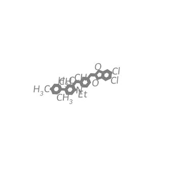 CCN1c2ccc(C=C3C(=O)c4cc(Cl)c(Cl)cc4C3=O)cc2C(C)(C)c2cc(-c3c(C)cc(C)cc3C)ccc21